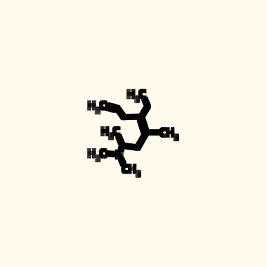 C=CC/C(CC)=C(/C)CC(C)N(C)C